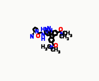 C[C@H](CC1(c2nn[nH]n2)c2ccc(C(=O)N(C)C)cc2-c2cc(C(=O)N(C)C)ccc21)NCC(=O)N1CCC[C@H]1C#N